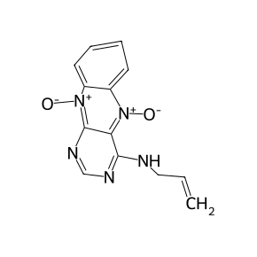 C=CCNc1ncnc2c1[n+]([O-])c1ccccc1[n+]2[O-]